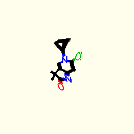 CC1(C)C(=O)N=C2C=C(Cl)N(C3CC3)C=C21